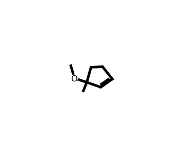 COC1(C)C=[C]CC1